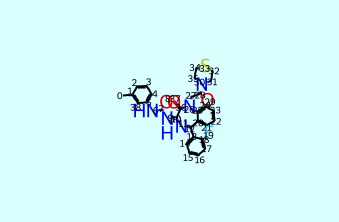 Cc1cccc(NC(=O)N[C@@H]2N=C(c3ccccc3F)c3ccccc3N(CC(=O)N3CCSCC3)C2=O)c1